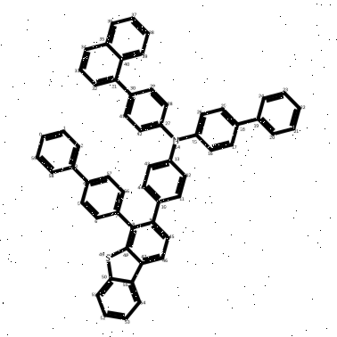 c1ccc(-c2ccc(-c3c(-c4ccc(N(c5ccc(-c6ccccc6)cc5)c5ccc(-c6cccc7ccccc67)cc5)cc4)ccc4c3sc3ccccc34)cc2)cc1